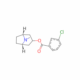 CN1[C@@H]2CC[C@H]1CC(OC(=O)c1cccc(Cl)c1)C2